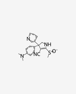 CN(C)c1ccc(C2(c3cccnc3)CNC([S+](C)[O-])=C2C#N)cc1